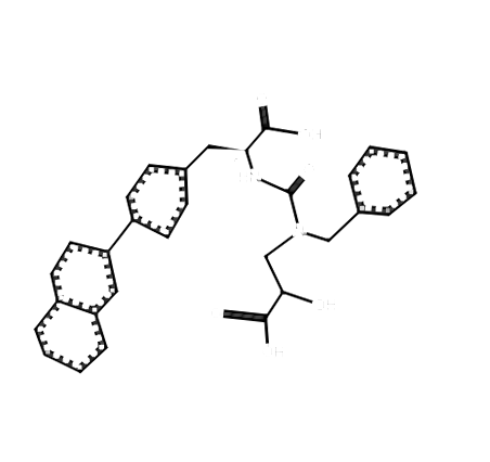 O=C(O)C(O)CN(Cc1ccccc1)C(=O)N[C@@H](Cc1ccc(-c2ccc3ccccc3c2)cc1)C(=O)O